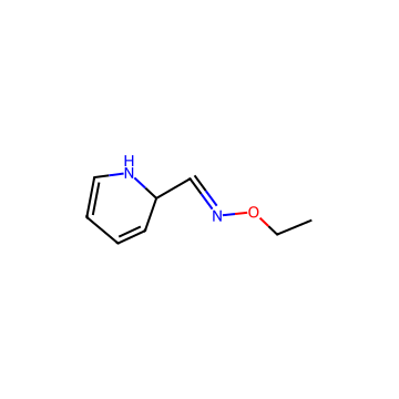 CCON=CC1C=CC=CN1